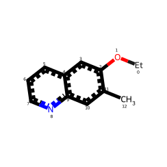 CCOc1cc2cccnc2cc1C